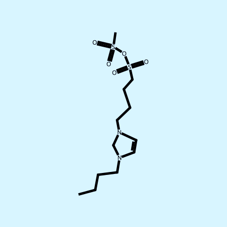 CCCCN1C=CN(CCCCS(=O)(=O)OS(C)(=O)=O)C1